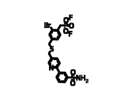 NS(=O)(=O)c1cccc(-c2ccc(CSCc3ccc(CP(=O)(OF)OF)c(Br)c3)cn2)c1